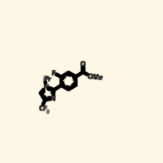 COC(=O)c1ccc(-c2nc(C(F)(F)F)cn2C(C)C)c(F)c1